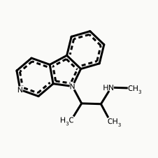 CNC(C)C(C)n1c2ccccc2c2ccncc21